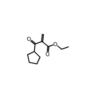 C=C(C(=O)OCC)C(=O)C1CCCC1